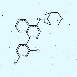 Oc1cc(Cl)ccc1-c1nnc(NC2C3CCC2COC3)c2cnccc12